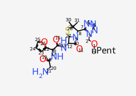 CCCCCOCn1nnnc1C1N2C(=O)C(NC(=O)C(NC(=O)CN)c3ccco3)C2SC1(C)C